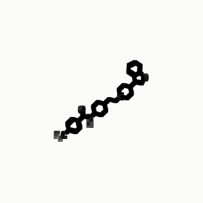 O=C(NC1CCC(CCN2CCC(c3coc4ccccc34)CC2)CC1)c1ccc(C(F)(F)F)cc1